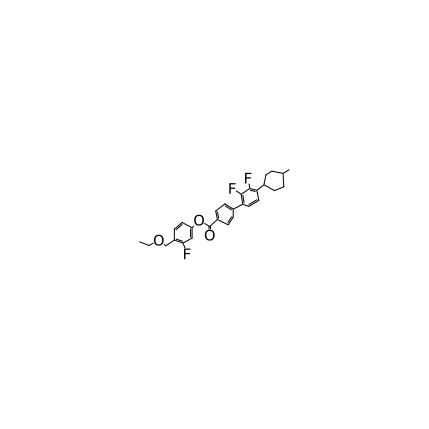 CCOCc1ccc(OC(=O)c2ccc(-c3ccc(C4CCC(C)CC4)c(F)c3F)cc2)cc1F